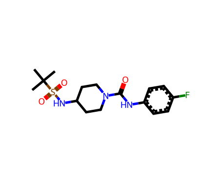 CC(C)(C)S(=O)(=O)NC1CCN(C(=O)Nc2ccc(F)cc2)CC1